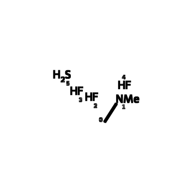 CNC.F.F.F.S